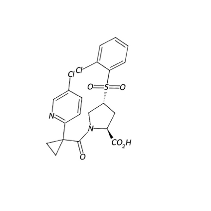 O=C(O)[C@@H]1C[C@@H](S(=O)(=O)c2ccccc2Cl)CN1C(=O)C1(c2ccc(Cl)cn2)CC1